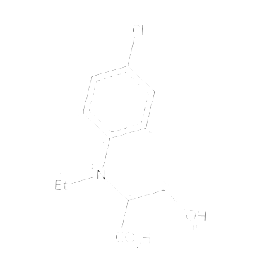 CCN(c1ccc(Cl)cc1)C(CO)C(=O)O